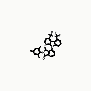 Cc1cc(C)c(N2C(=O)c3cccc(-n4c5cccc(C(F)(F)F)c5c5c(C(F)(F)F)cccc54)c3C2=O)c(C)c1